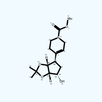 CC(C)(C)OC(=O)N1CC=C([C@H]2C[C@H](O)[C@@H]3OC(C)(C)O[C@@H]32)CC1